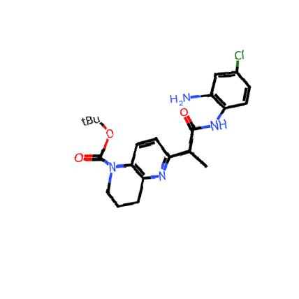 CC(C(=O)Nc1ccc(Cl)cc1N)c1ccc2c(n1)CCCN2C(=O)OC(C)(C)C